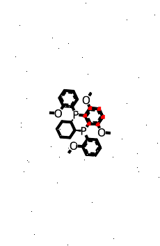 COc1ccccc1P(c1ccccc1OC)[C@H]1CCCC[C@@H]1P(c1ccccc1OC)c1ccccc1OC